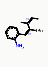 C/C=C(C)\C(=C/c1ccccc1N)C(C)(C)C